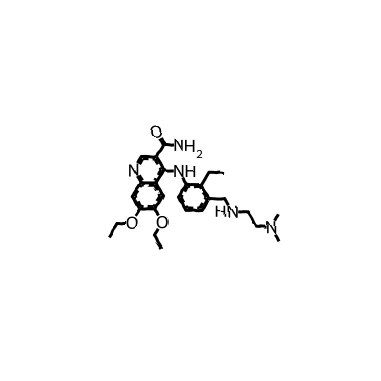 CCOc1cc2ncc(C(N)=O)c(Nc3cccc(CNCCN(C)C)c3CC)c2cc1OCC